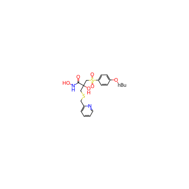 CCCCOc1ccc(S(=O)(=O)CC(O)(CSCc2ccccn2)C(=O)NO)cc1